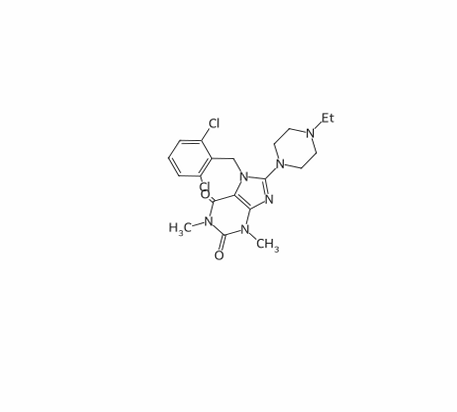 CCN1CCN(c2nc3c(c(=O)n(C)c(=O)n3C)n2Cc2c(Cl)cccc2Cl)CC1